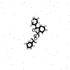 CC(C)(OOC(C)(C)c1ccccc1C(=O)c1ccccc1)c1ccccc1